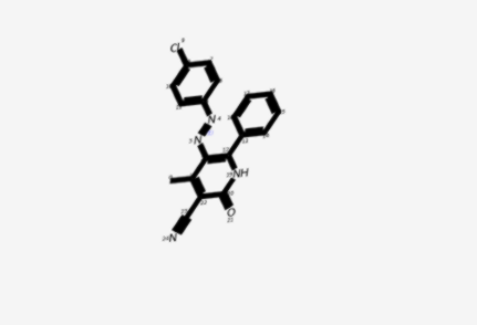 Cc1c(/N=N/c2ccc(Cl)cc2)c(-c2ccccc2)[nH]c(=O)c1C#N